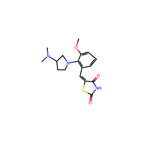 COc1cccc(C=C2SC(=O)NC2=O)c1N1CCC(N(C)C)C1